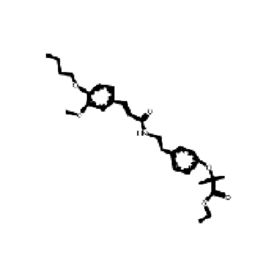 CCCCOc1ccc(C=CC(=O)NCCc2ccc(OC(C)(C)C(=O)OCC)cc2)cc1OC